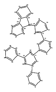 c1ccc(-c2cc(-c3cccc(-c4cccc(-n5c6ccccc6c6ccccc65)c4)c3)nc(-c3ccccc3)n2)cc1